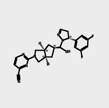 N#Cc1ccnc(N2C[C@H]3C[C@@H](C(O)N4N=CC[C@@H]4c4cc(F)cc(F)c4)C[C@H]3C2)n1